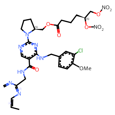 C=N/C(CNC(=O)c1cnc(N2CCC[C@H]2COC(=O)CCC[C@@H](CO[N+](=O)[O-])O[N+](=O)[O-])nc1NCc1ccc(OC)c(Cl)c1)=N\C=C/C